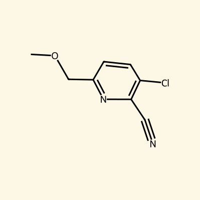 COCc1ccc(Cl)c(C#N)n1